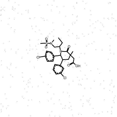 CCC(CN(C)S(C)(=O)=O)N1C(=O)C(C)(CC(=O)O)CC(c2cccc(Cl)c2)C1c1ccc(Cl)cc1